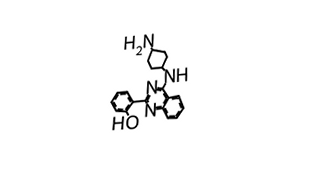 NC1CCC(Nc2nc(-c3ccccc3O)nc3ccccc23)CC1